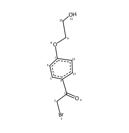 O=C(CBr)c1ccc(OCCO)cc1